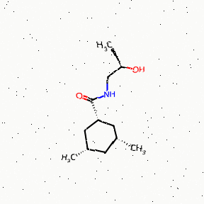 C[C@@H]1C[C@H](C)C[C@H](C(=O)NC[C@@H](C)O)C1